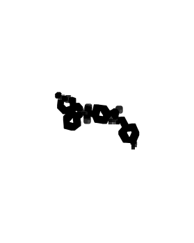 CN1CCC2(CC1)CN(S(=O)(=O)c1ccc(C(=O)NCc3ccc(F)cc3)cc1)c1ccccc12